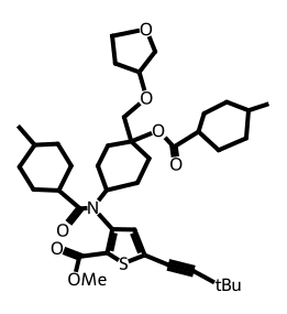 COC(=O)c1sc(C#CC(C)(C)C)cc1N(C(=O)C1CCC(C)CC1)C1CCC(COC2CCOC2)(OC(=O)C2CCC(C)CC2)CC1